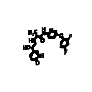 C[C@H](NC[C@@H](O)c1ccc(=O)[nH]c1)C(=O)Nc1ccc(Oc2ccc(F)cc2F)cn1